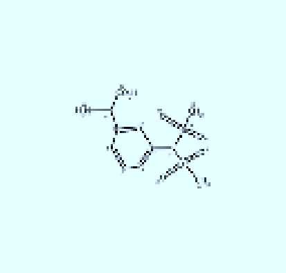 CS(=O)(=O)N(c1cccc(C(N)C(=O)O)c1)S(C)(=O)=O